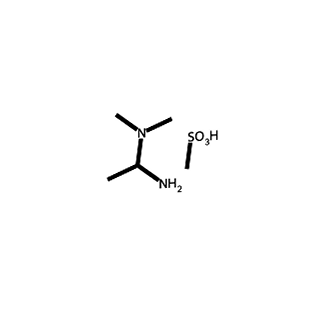 CC(N)N(C)C.CS(=O)(=O)O